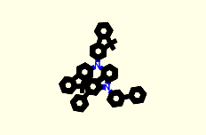 CC1(C)c2ccccc2-c2ccc(N(c3ccc4c(c3)C(C)(C)c3ccccc3-4)c3cccc4c3c3ccc(-c5ccccc5)cc3n4-c3cccc(-c4ccccc4)c3)cc21